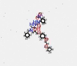 O=C(NCCN(Cc1ccccc1)CC(O)COc1ccc(OCCOC2CCCC2)cc1)Nc1ccccc1[N+](=O)[O-]